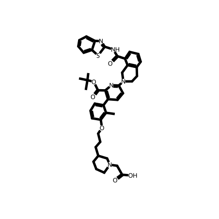 Cc1c(OCCCC2CCCN(CC(=O)O)C2)cccc1-c1ccc(N2CCc3cccc(C(=O)Nc4nc5ccccc5s4)c3C2)nc1C(=O)OC(C)(C)C